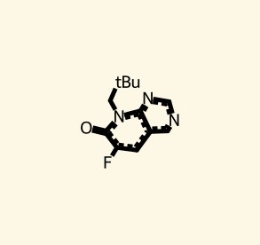 CC(C)(C)Cn1c(=O)c(F)cc2cncnc21